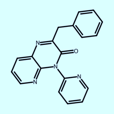 O=c1c(Cc2ccccc2)nc2cccnc2n1-c1ccccn1